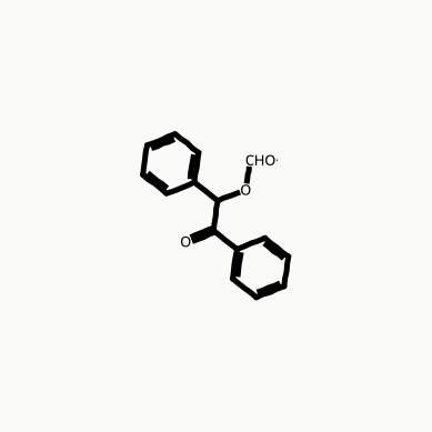 O=[C]OC(C(=O)c1ccccc1)c1ccccc1